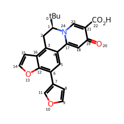 CC(C)(C)[C@@H]1Cc2c(cc(-c3ccoc3)c3occc23)-c2cc(=O)c(C(=O)O)cn21